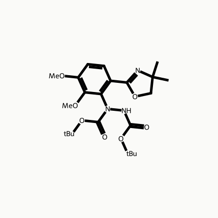 COc1ccc(C2=NC(C)(C)CO2)c(N(NC(=O)OC(C)(C)C)C(=O)OC(C)(C)C)c1OC